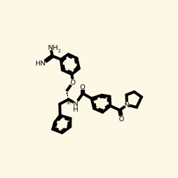 N=C(N)c1cccc(OC[C@@H](Cc2ccccc2)NC(=O)c2ccc(C(=O)N3CCCC3)cc2)c1